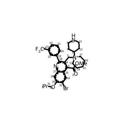 COC(=O)c1c(C[N+]2(C3CCNCC3)CCCCC2)c(-c2cccc(C(F)(F)F)c2)nc2cc(OC(C)C)c(Br)cc12